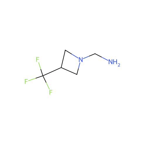 NCN1CC(C(F)(F)F)C1